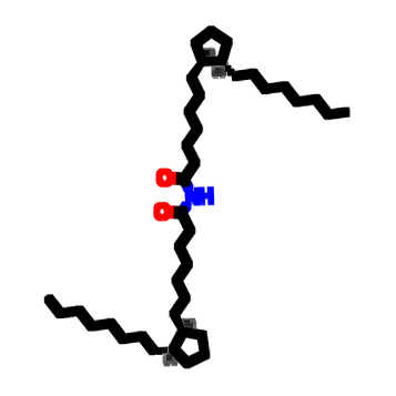 CCCCCCCC[C@H]1CCC[C@@H]1CCCCCCC(=O)NC(=O)CCCCCC[C@H]1CCC[C@@H]1CCCCCCCC